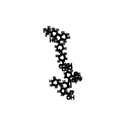 O=C(NS(=O)(=O)c1ccc(NC(CSc2ccccc2)CC2CCCN2C(=O)O)c(S(=O)(=O)C(F)(F)F)c1)c1ccc(N2CCC([C@@H](O)c3ccccc3-c3ccc(C(F)(F)F)cc3)CC2)cc1